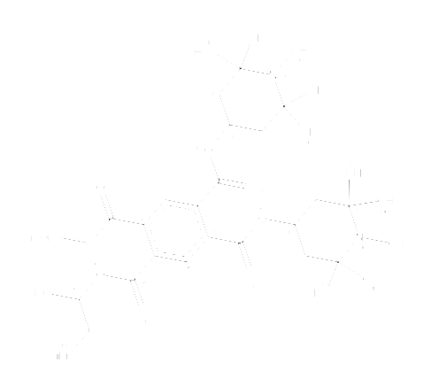 CCCC(C)OC(=O)c1cc(C(=O)OC2CC(C)(C)N(C)C(C)(C)C2)c(C(=O)OC2CC(C)(C)N(C)C(C)(C)C2)cc1C(=O)OC(C)CC(C)C